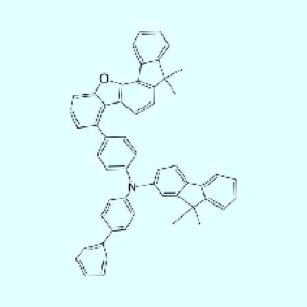 CC1(C)c2ccccc2-c2ccc(N(c3ccc(-c4ccccc4)cc3)c3ccc(-c4cccc5oc6c7c(ccc6c45)C(C)(C)c4ccccc4-7)cc3)cc21